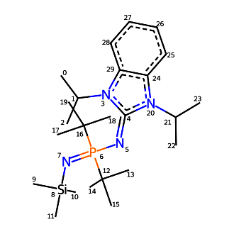 CC(C)n1c(=NP(=N[Si](C)(C)C)(C(C)(C)C)C(C)(C)C)n(C(C)C)c2ccccc21